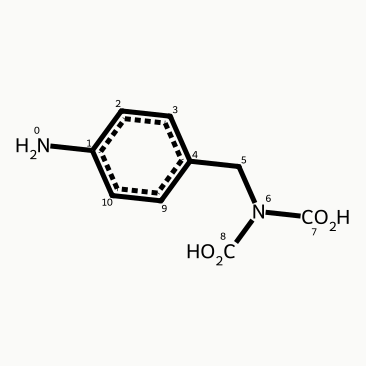 Nc1ccc(CN(C(=O)O)C(=O)O)cc1